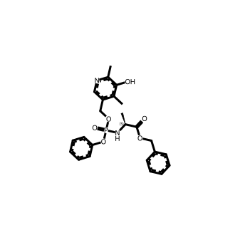 Cc1ncc(COP(=O)(N[C@@H](C)C(=O)OCc2ccccc2)Oc2ccccc2)c(C)c1O